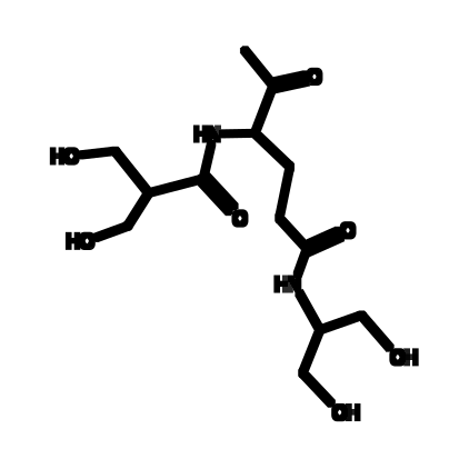 CC(=O)C(CCC(=O)NC(CO)CO)NC(=O)C(CO)CO